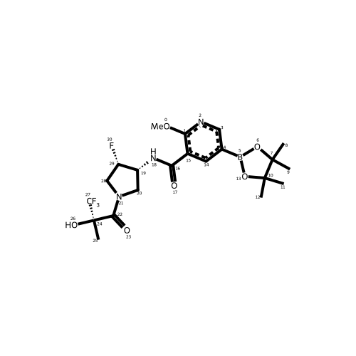 COc1ncc(B2OC(C)(C)C(C)(C)O2)cc1C(=O)N[C@@H]1CN(C(=O)[C@@](C)(O)C(F)(F)F)C[C@@H]1F